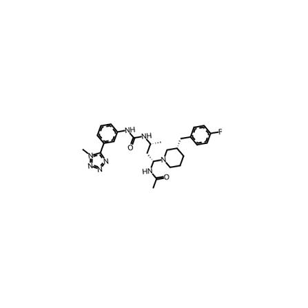 CC(=O)N[C@H](C[C@@H](C)NC(=O)Nc1cccc(-c2nnnn2C)c1)N1CCC[C@@H](Cc2ccc(F)cc2)C1